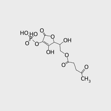 CC(=O)CCC(=O)OCC(O)C1OC(=O)C(OP(=O)(O)O)=C1O